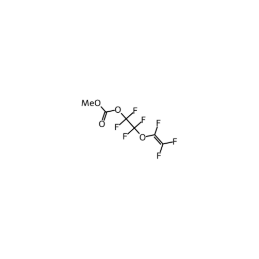 COC(=O)OC(F)(F)C(F)(F)OC(F)=C(F)F